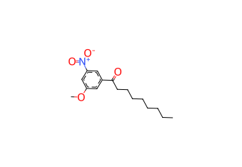 CCCCCCCCC(=O)c1cc(OC)cc([N+](=O)[O-])c1